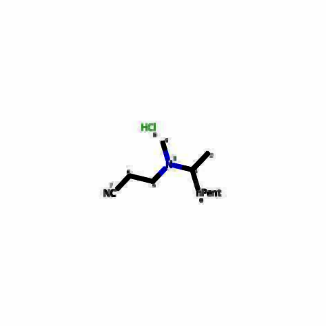 CCCCCC(C)N(C)CCC#N.Cl